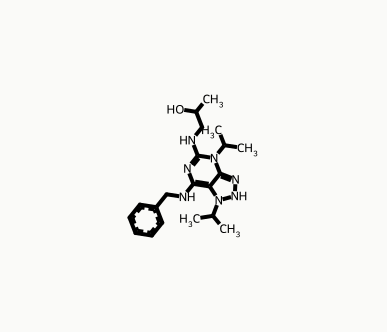 CC(O)CNC1=NC(NCc2ccccc2)=C2C(=NNN2C(C)C)N1C(C)C